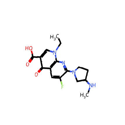 CCn1cc(C(=O)O)c(=O)c2cc(F)c(N3CCC(NC)C3)nc21